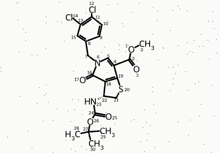 COC(=O)c1cn(Cc2ccc(Cl)c(Cl)c2)c(=O)c2c1SC[C@@H]2NC(=O)OC(C)(C)C